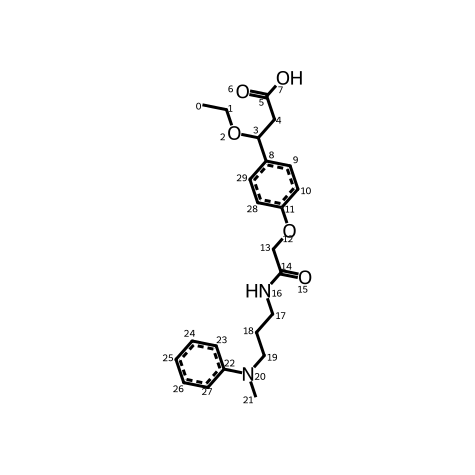 CCOC(CC(=O)O)c1ccc(OCC(=O)NCCCN(C)c2ccccc2)cc1